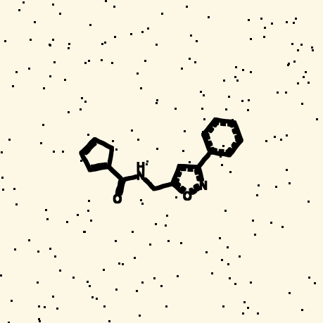 O=C(NCc1cc(-c2ccccc2)no1)C1=CC=CC1